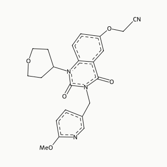 COc1ccc(Cn2c(=O)c3cc(OCC#N)ccc3n(C3CCOCC3)c2=O)cn1